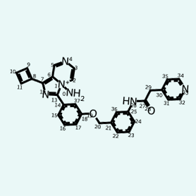 N[N+]12C=CN=CC1=C(C1=CC=C1)N=C2c1cccc(OCc2cccc(NC(=O)Cc3ccncc3)c2)c1